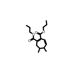 CCCOC(=O)C1=C(C(=O)OCCC)CC(C)C(C)C=C1